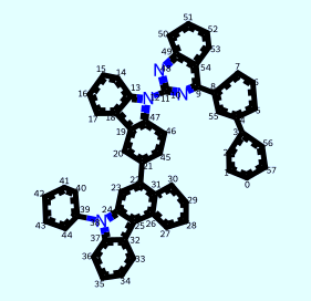 c1ccc(-c2cccc(-c3nc(-n4c5ccccc5c5cc(-c6cc7c(c8ccccc68)c6ccccc6n7-c6ccccc6)ccc54)nc4ccccc34)c2)cc1